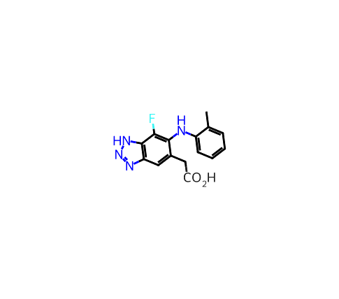 Cc1ccccc1Nc1c(CC(=O)O)cc2nn[nH]c2c1F